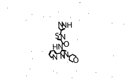 O=C(Nc1cn(C2CCOCC2)nc1-c1ccccn1)c1csc(-c2cn[nH]c2)n1